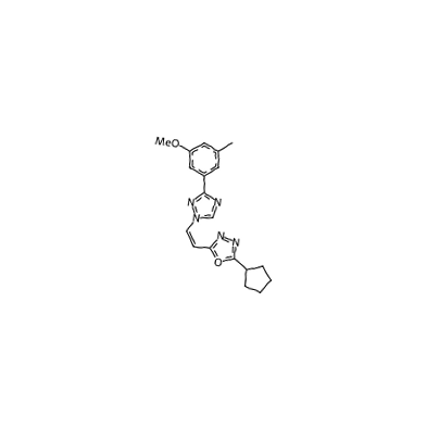 COc1cc(C)cc(-c2ncn(/C=C\c3nnc(C4CCCC4)o3)n2)c1